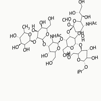 CC(=O)NC1[C@@H](O[C@H]2C(CO)O[C@@H](O[C@@H]3C(CO)O[C@@H](OC(C)C)C(O)[C@H]3O)C(O)[C@H]2O[C@]2(OC=O)C[C@@H](O)[C@@H](NC(C)=O)C([C@H](O)[C@H](O)CO)O2)OC(CO)[C@H](O)[C@@H]1O[C@@H]1OC(CO)[C@H](O)[C@H](O)C1O[C@@H]1OC(C)[C@@H](O)[C@H](O)C1O